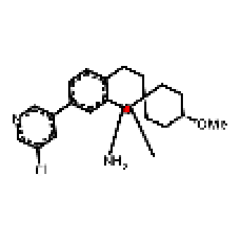 CO[C@H]1CC[C@@]2(CCc3ccc(-c4cncc(Cl)c4)cc3C23N=C(C)C(N)=N3)CC1